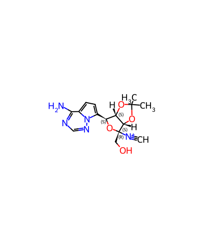 C#[N+][C@]1(CO)O[C@@H](c2ccc3c(N)ncnn23)[C@@H]2OC(C)(C)O[C@@H]21